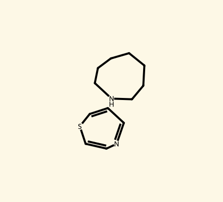 C1=CSC=CN=C1.C1CCCNCCC1